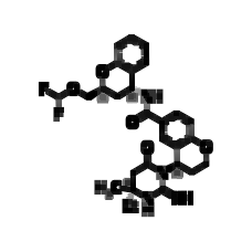 CC[C@]1(C)CC(=O)N([C@@H]2CCOc3ccc(C(=O)N[C@@H]4C[C@@H](COC(F)F)Oc5ccccc54)cc32)C(=N)N1